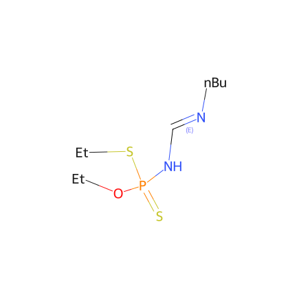 CCCC/N=C/NP(=S)(OCC)SCC